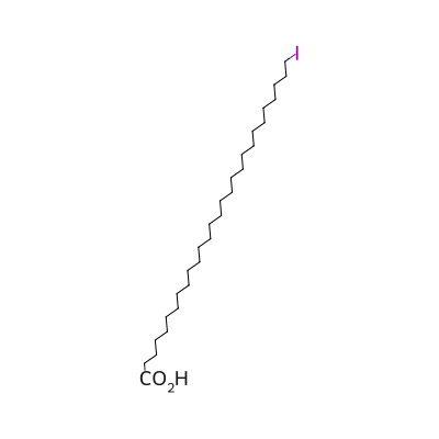 O=C(O)CCCCCCCCCCCCCCCCCCCCCCCCCCCI